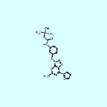 CC(C)(C)CC(=O)Nc1cccc(Cn2nnc3c(-c4ccco4)nc(N)nc32)c1